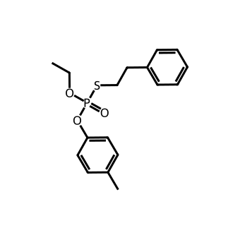 CCOP(=O)(Oc1ccc(C)cc1)SCCc1ccccc1